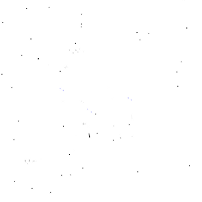 CN[C@@H](C)C(=O)N[C@H]1Cc2cc(OC)ccc2[C@H]2CC(C)(C)C(C(=O)NC(c3ccccc3)c3ccccc3)N2C1=O